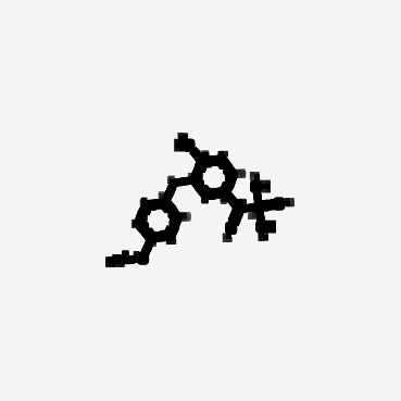 CCCOc1ccc(Cc2cc(C(=O)P(=O)(O)O)ccc2O)cc1